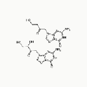 Nc1nc2c(ncn2CC(=O)C(O)CO)c(=O)[nH]1.Nc1nc2c(ncn2CC(=O)CCO)c(=O)[nH]1